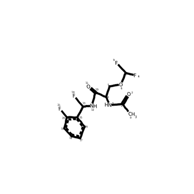 CC(=O)NC(COC(F)F)C(=O)NC(F)c1ccccc1F